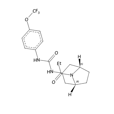 CCC(=O)N1[C@@H]2CC[C@H]1CC(NC(=O)Nc1ccc(OC(F)(F)F)cc1)C2